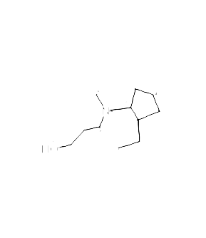 CCC1CCCC1N(C)CCCO